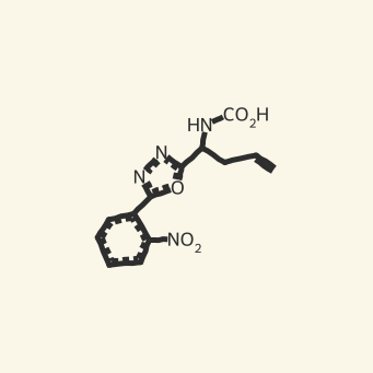 C=CCC(NC(=O)O)c1nnc(-c2ccccc2[N+](=O)[O-])o1